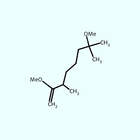 C=C(OC)C(C)CCCC(C)(C)OC